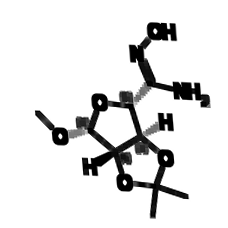 CO[C@@H]1O[C@H](C(N)=NO)[C@H]2OC(C)(C)O[C@H]12